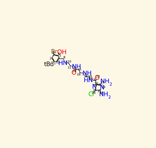 CC(C)(C)c1cc(Br)c(O)c(CNCCNC(=O)CCNCCNC(=O)c2nc(Cl)c(N)nc2N)c1